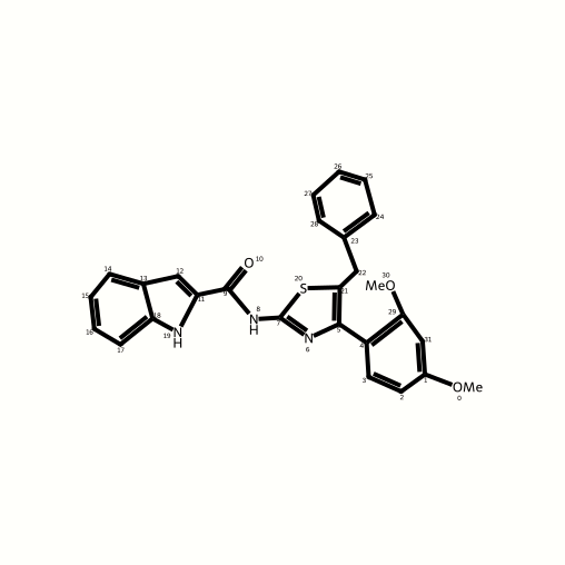 COc1ccc(-c2nc(NC(=O)c3cc4ccccc4[nH]3)sc2Cc2ccccc2)c(OC)c1